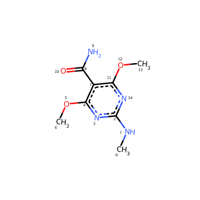 CNc1nc(OC)c(C(N)=O)c(OC)n1